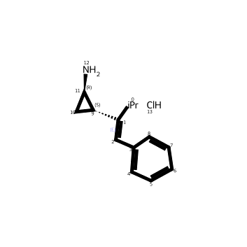 CC(C)/C(=C\c1ccccc1)[C@@H]1C[C@H]1N.Cl